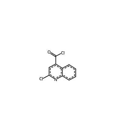 O=C(Cl)c1cc(Cl)nc2ccccc12